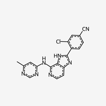 Cc1cc(Nc2nccc3nc(-c4ccc(C#N)cc4Cl)[nH]c23)ncn1